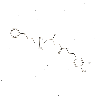 CN(COC(C)(C)CCSSc1ccccn1)OCC(=O)NCCc1ccc(O)c(O)c1